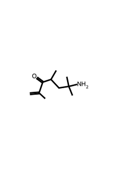 C=C(C)C(=O)C(C)CC(C)(C)N